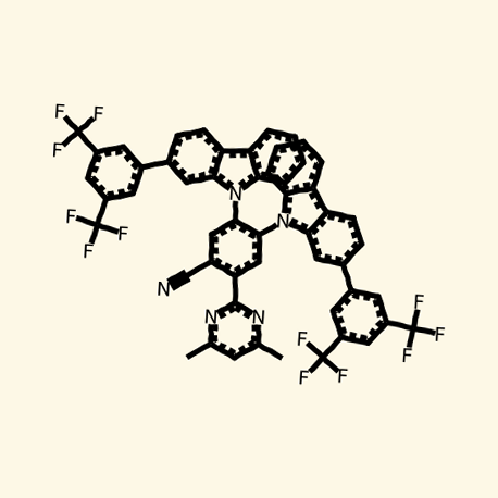 Cc1cc(C)nc(-c2cc(-n3c4ccccc4c4ccc(-c5cc(C(F)(F)F)cc(C(F)(F)F)c5)cc43)c(-n3c4ccccc4c4ccc(-c5cc(C(F)(F)F)cc(C(F)(F)F)c5)cc43)cc2C#N)n1